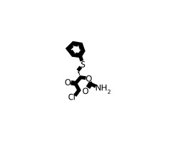 NC(=O)O[C@@H](CSc1ccccc1)C(=O)CCl